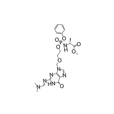 COC(=O)[C@H](C)NP(=O)(OCCOCn1cnc2c(=O)[nH]c(/N=C/N(C)C)nc21)Oc1ccccc1